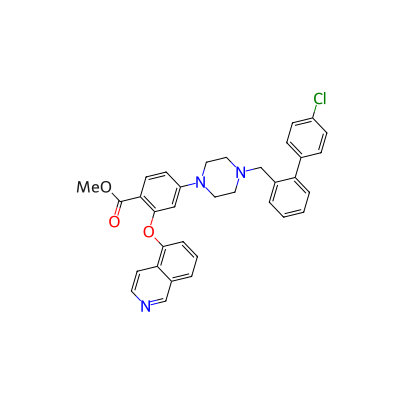 COC(=O)c1ccc(N2CCN(Cc3ccccc3-c3ccc(Cl)cc3)CC2)cc1Oc1cccc2cnccc12